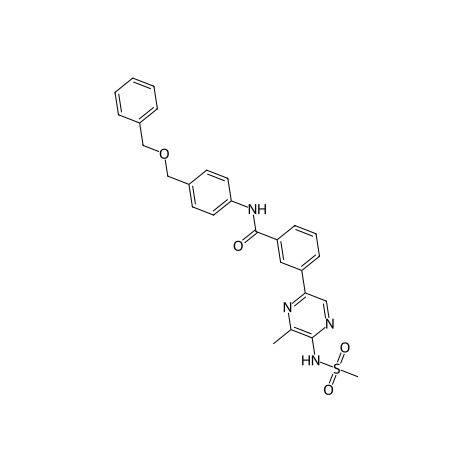 Cc1nc(-c2cccc(C(=O)Nc3ccc(COCc4ccccc4)cc3)c2)cnc1NS(C)(=O)=O